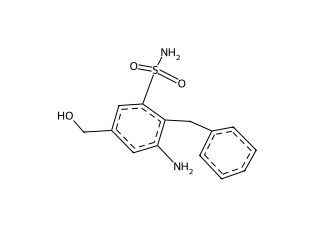 Nc1cc(CO)cc(S(N)(=O)=O)c1Cc1ccccc1